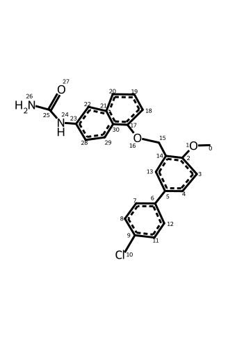 COc1ccc(-c2ccc(Cl)cc2)cc1COc1cccc2cc(NC(N)=O)ccc12